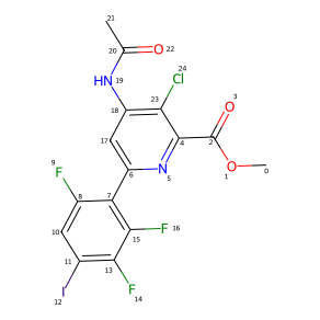 COC(=O)c1nc(-c2c(F)cc(I)c(F)c2F)cc(NC(C)=O)c1Cl